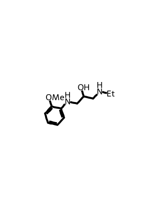 CCNCC(O)CNc1ccccc1OC